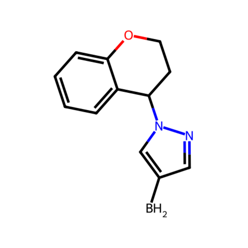 Bc1cnn(C2CCOc3ccccc32)c1